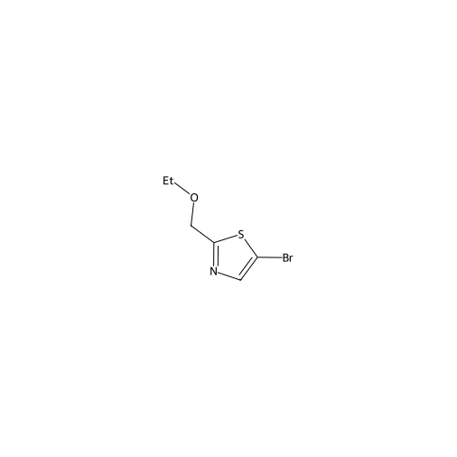 CCOCc1ncc(Br)s1